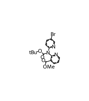 COC(=O)c1cccnc1N(C(=O)OC(C)(C)C)c1ccc(Br)cn1